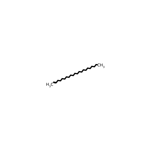 CC=CCCCCCCCCCCCCCCCCCCCC